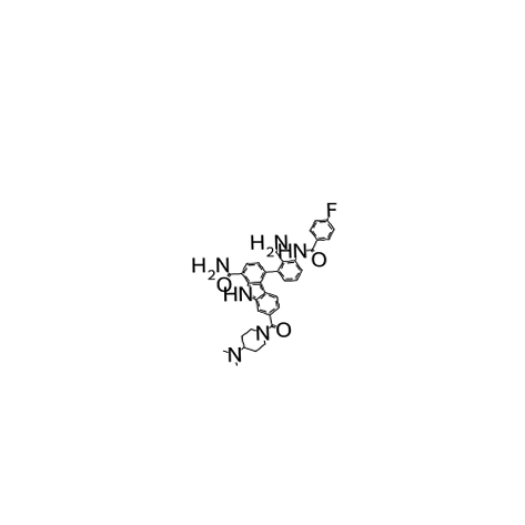 CN(C)C1CCN(C(=O)c2ccc3c(c2)[nH]c2c(C(N)=O)ccc(-c4cccc(NC(=O)c5ccc(F)cc5)c4CN)c23)CC1